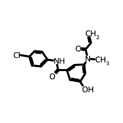 C=CC(=O)N(C)c1cc(O)cc(C(=O)Nc2ccc(Cl)cc2)c1